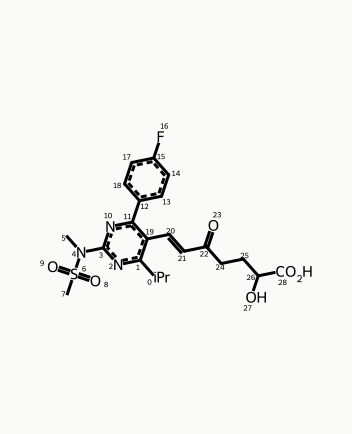 CC(C)c1nc(N(C)S(C)(=O)=O)nc(-c2ccc(F)cc2)c1C=CC(=O)CCC(O)C(=O)O